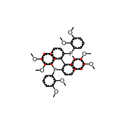 COc1cccc(P(c2cccc(OC)c2OC)c2ccc3ccccc3c2-c2c(P(c3cccc(OC)c3OC)c3cccc(OC)c3OC)ccc3ccccc23)c1OC